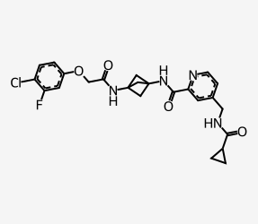 O=C(COc1ccc(Cl)c(F)c1)NC12CC(NC(=O)c3cc(CNC(=O)C4CC4)ccn3)(C1)C2